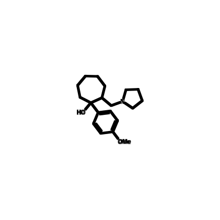 COc1ccc(C2(O)CCCCCC2CN2CCCC2)cc1